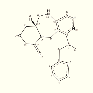 CN(Cc1ccccc1)c1ncnc2c1CN1C(=O)COC[C@@H]1CN2